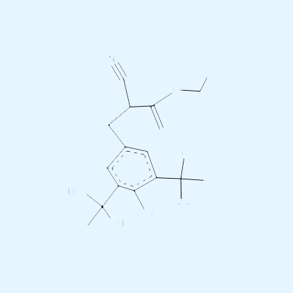 CCOC(=O)C(C#N)Cc1cc(C(C)(C)C)c(O)c(C(C)(C)C)c1